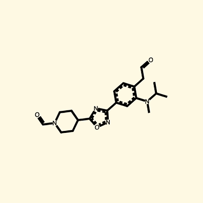 CC(C)N(C)c1cc(-c2noc(C3CCN(C=O)CC3)n2)ccc1CC=O